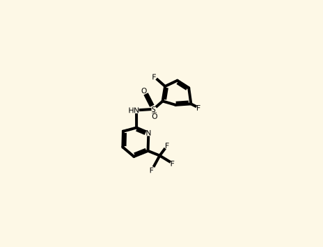 O=S(=O)(Nc1cccc(C(F)(F)F)n1)c1cc(F)ccc1F